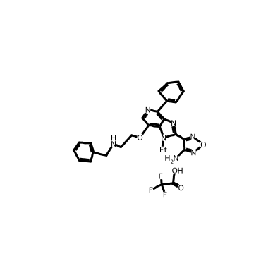 CCn1c(-c2nonc2N)nc2c(-c3ccccc3)ncc(OCCNCc3ccccc3)c21.O=C(O)C(F)(F)F